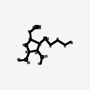 CCCCOC1C(CO)OC(OC)C1OC